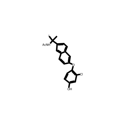 CC(=O)NC(C)(I)c1ccc2cc(Oc3ccc(O)cc3Cl)ccc2c1